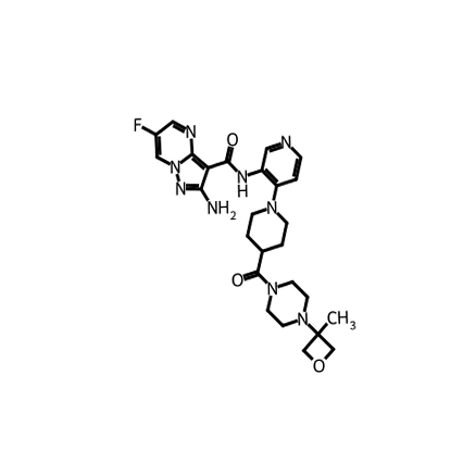 CC1(N2CCN(C(=O)C3CCN(c4ccncc4NC(=O)c4c(N)nn5cc(F)cnc45)CC3)CC2)COC1